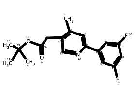 Cc1cc(-c2cc(F)cc(F)c2)ncc1CC(=O)OC(C)(C)C